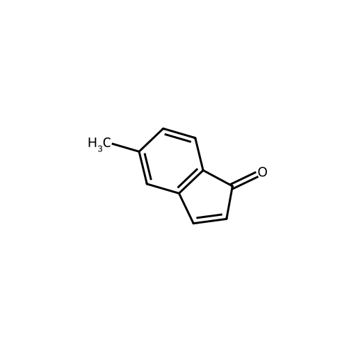 Cc1ccc2c(c1)C=CC2=O